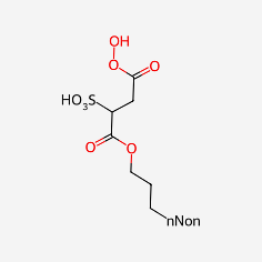 CCCCCCCCCCCCOC(=O)C(CC(=O)OO)S(=O)(=O)O